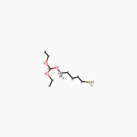 CCOC(OCC)O[SiH2]CCCCS